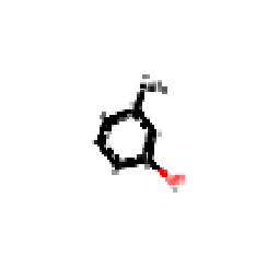 Oc1cccc([AsH2])c1